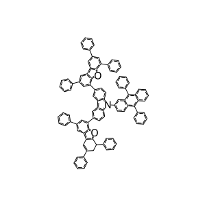 C1=C(c2ccccc2)CC(c2ccccc2)c2oc3c(-c4ccc5c(c4)c4cc(-c6cc(-c7ccccc7)cc7c6oc6c(-c8ccccc8)cc(-c8ccccc8)cc67)ccc4n5-c4ccc5c(-c6ccccc6)c6ccccc6c(-c6ccccc6)c5c4)cc(-c4ccccc4)cc3c21